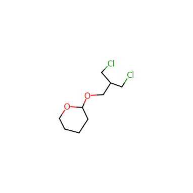 ClCC(CCl)COC1CCCCO1